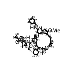 C=C[C@@H]1CC1(NC(=O)[C@@H]1C[C@@H]2CN1C(=O)[C@H](C1CCCCC1)NC(=O)OCC(C)(C)CCCc1cc3c(cc(NCc4ccccc4)nc3cc1OC)O2)C(=O)NS(=O)(=O)C1CC1